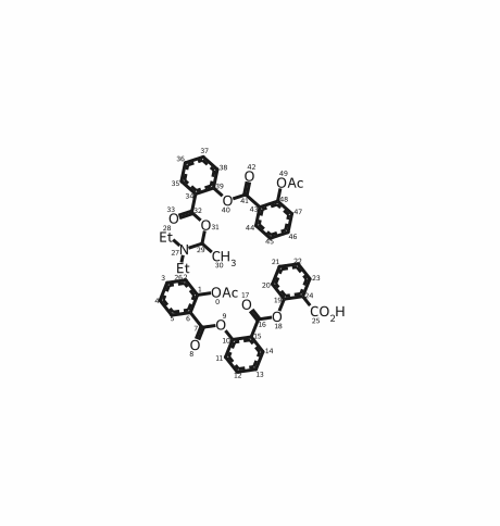 CC(=O)Oc1ccccc1C(=O)Oc1ccccc1C(=O)Oc1ccccc1C(=O)O.CCN(CC)C(C)OC(=O)c1ccccc1OC(=O)c1ccccc1OC(C)=O